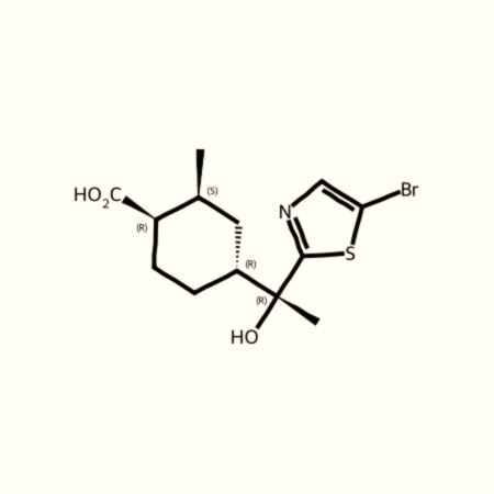 C[C@H]1C[C@H]([C@@](C)(O)c2ncc(Br)s2)CC[C@H]1C(=O)O